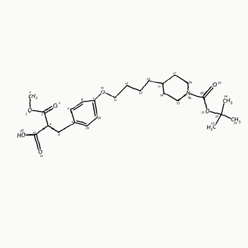 COC(=O)C(Cc1ccc(OCCCCC2CCN(C(=O)OC(C)(C)C)CC2)cc1)C(=O)O